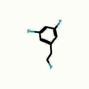 FCCc1cc(F)cc(F)c1